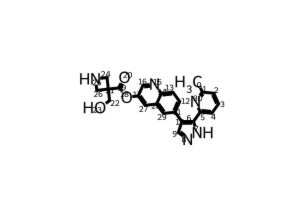 Cc1cccc(-c2[nH]ncc2-c2ccc3ncc(OC(=O)C4(CO)CNC4)cc3c2)n1